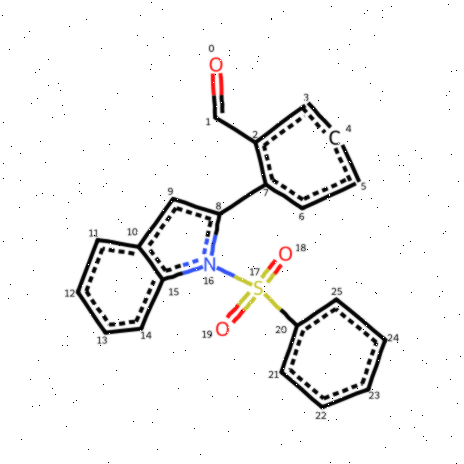 O=Cc1ccccc1-c1cc2ccccc2n1S(=O)(=O)c1ccccc1